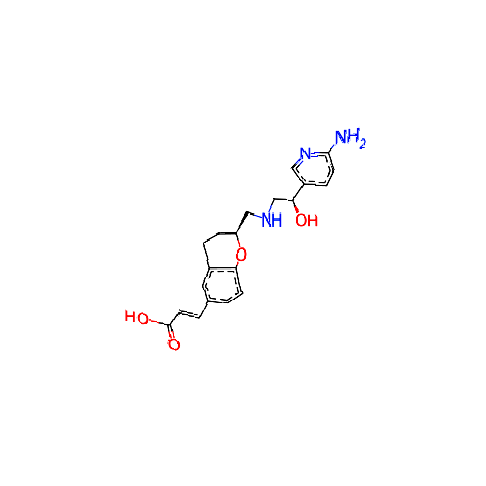 Nc1ccc([C@@H](O)CNC[C@@H]2CCc3cc(C=CC(=O)O)ccc3O2)cn1